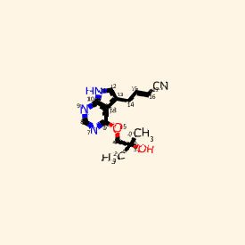 CC(C)(O)COc1ncnc2[nH]cc(C/C=C/C#N)c12